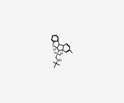 CC1=C[C@@H]2C(C=C1)C1c3ccccc3S[C@@H]1C2S(C)(C)CNC(C)(C)C